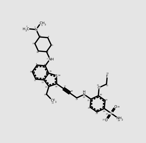 CN(C)C1CCC(Nc2cccc3c(CC(F)(F)F)c(C#CCNc4ccc(S(N)(=O)=O)cc4OCF)sc23)CC1